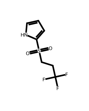 O=S(=O)(CCC(F)(F)F)c1ccc[nH]1